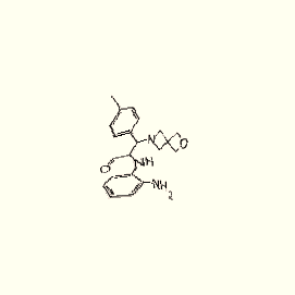 Cc1ccc(C(C(C=O)Nc2ccccc2N)N2CC3(COC3)C2)cc1